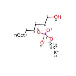 CCCCCCCCCCCCCO.O=P([O-])([O-])[O-].[K+].[K+].[K+]